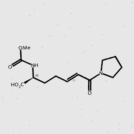 COC(=O)N[C@@H](CC/C=C/C(=O)N1CCCC1)C(=O)O